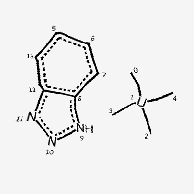 [CH3][U]([CH3])([CH3])[CH3].c1ccc2[nH]nnc2c1